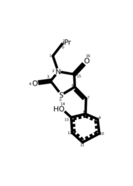 CC(C)CN1C(=O)SC(=Cc2ccccc2O)C1=O